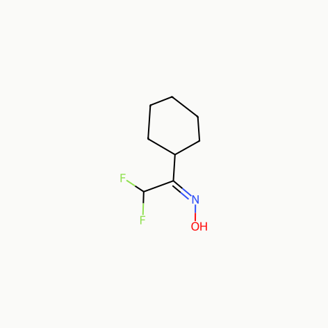 ON=C(C(F)F)C1CCCCC1